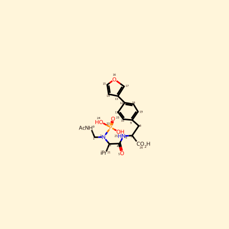 CC(=O)NCN(C(C(=O)NC(Cc1ccc(-c2ccoc2)cc1)C(=O)O)C(C)C)P(=O)(O)O